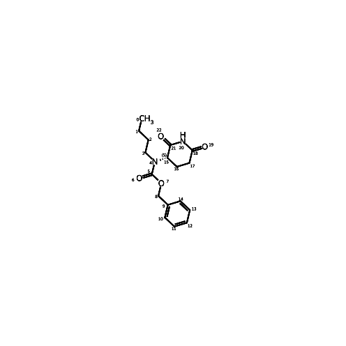 CCCCN(C(=O)OCc1ccccc1)[C@H]1CCC(=O)NC1=O